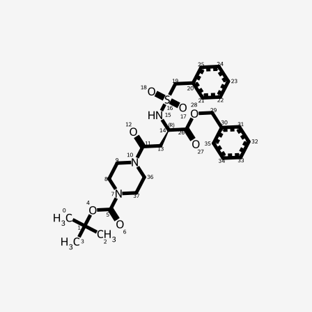 CC(C)(C)OC(=O)N1CCN(C(=O)C[C@@H](NS(=O)(=O)Cc2ccccc2)C(=O)OCc2ccccc2)CC1